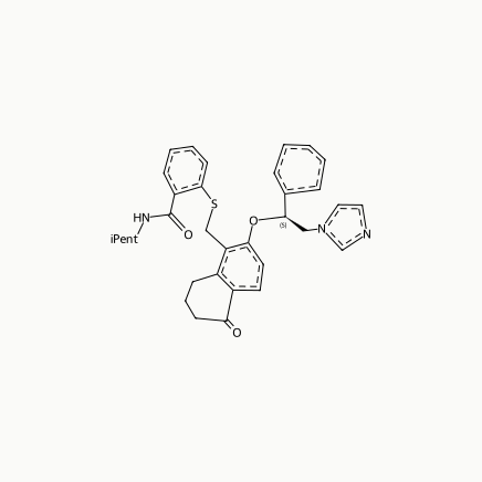 CCCC(C)NC(=O)c1ccccc1SCc1c(O[C@H](Cn2ccnc2)c2ccccc2)ccc2c1CCCC2=O